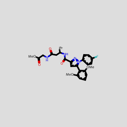 COC(=O)CNC(=O)CC(NC(=O)c1cc(-c2c(OC)cccc2OC)n(-c2ccc(F)cc2)n1)C(C)C